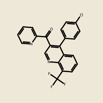 O=C(c1ccccn1)c1cnc2c(C(F)(F)F)cccc2c1-c1ccc(Cl)cc1